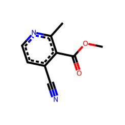 COC(=O)c1c(C#N)ccnc1C